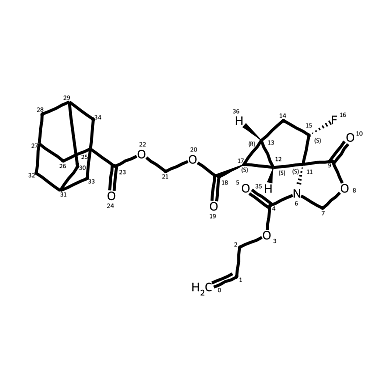 C=CCOC(=O)N1COC(=O)[C@]12[C@H]1[C@@H](C[C@@H]2F)[C@@H]1C(=O)OCOC(=O)C12CC3CC(CC(C3)C1)C2